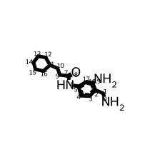 NCc1ccc(NC(=O)CCC2CCCCC2)cc1N